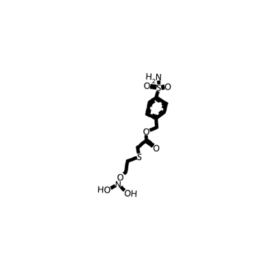 NS(=O)(=O)c1ccc(COC(=O)CSCCON(O)O)cc1